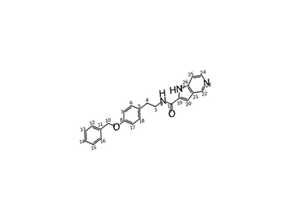 O=C(NCCc1ccc(OCc2ccccc2)cc1)c1cc2cnccc2[nH]1